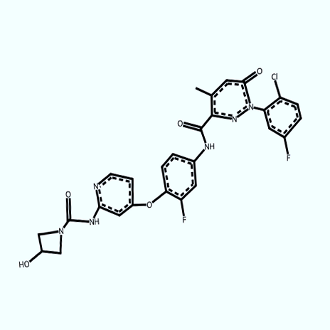 Cc1cc(=O)n(-c2cc(F)ccc2Cl)nc1C(=O)Nc1ccc(Oc2ccnc(NC(=O)N3CC(O)C3)c2)c(F)c1